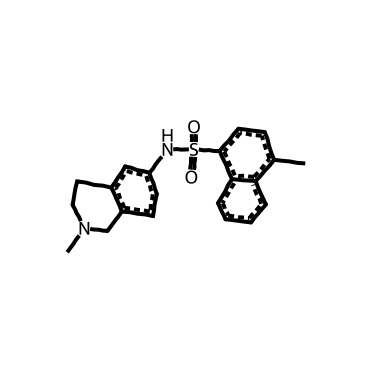 Cc1ccc(S(=O)(=O)Nc2ccc3c(c2)CCN(C)C3)c2ccccc12